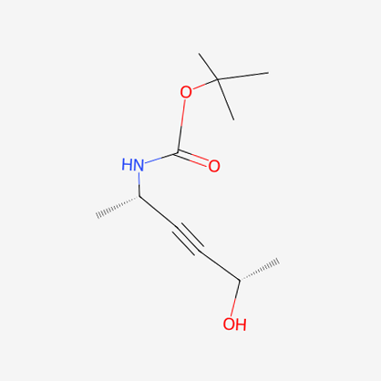 C[C@H](O)C#C[C@H](C)NC(=O)OC(C)(C)C